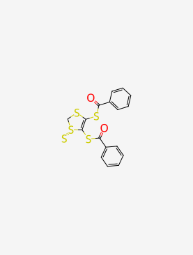 O=C(SC1=C(SC(=O)c2ccccc2)S(=S)CS1)c1ccccc1